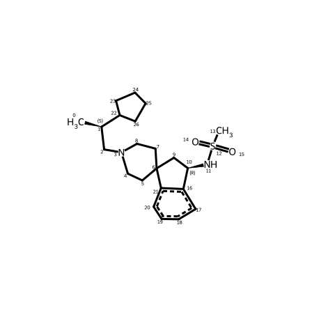 C[C@H](CN1CCC2(CC1)C[C@@H](NS(C)(=O)=O)c1ccccc12)C1CCCC1